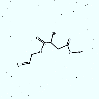 C=CCOC(=O)C(S)CC(=O)OCCC